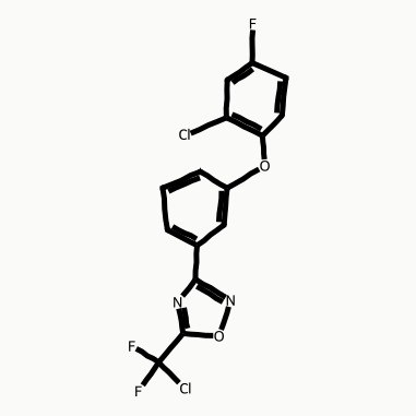 Fc1ccc(Oc2[c]ccc(-c3noc(C(F)(F)Cl)n3)c2)c(Cl)c1